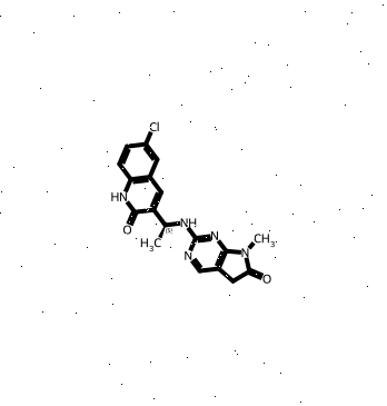 C[C@H](Nc1ncc2c(n1)N(C)C(=O)C2)c1cc2cc(Cl)ccc2[nH]c1=O